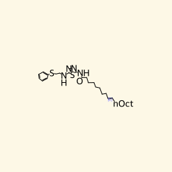 CCCCCCCC/C=C/CCCCCCCC(=O)Nc1nnc(NCCSc2ccccc2)s1